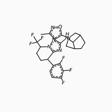 Cc1cc(N2CC3CCC(C2)C3Nc2nc3n(n2)C(C(F)(F)F)CCC3c2ccc(F)c(F)c2F)on1